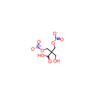 O=C(O)C(CO)(CO[N+](=O)[O-])CO[N+](=O)[O-]